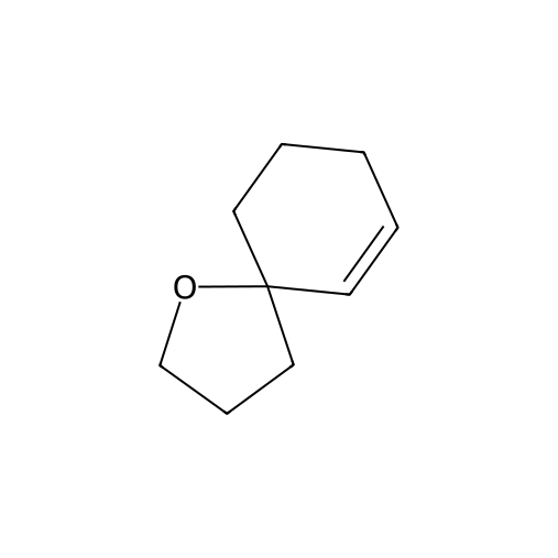 C1=CC2(CCC1)CCCO2